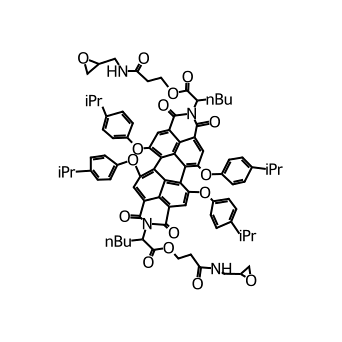 CCCCC(C(=O)OCCC(=O)NCC1CO1)N1C(=O)c2cc(Oc3ccc(C(C)C)cc3)c3c4c(Oc5ccc(C(C)C)cc5)cc5c6c(cc(Oc7ccc(C(C)C)cc7)c(c7c(Oc8ccc(C(C)C)cc8)cc(c2c37)C1=O)c64)C(=O)N(C(CCCC)C(=O)OCCC(=O)NCC1CO1)C5=O